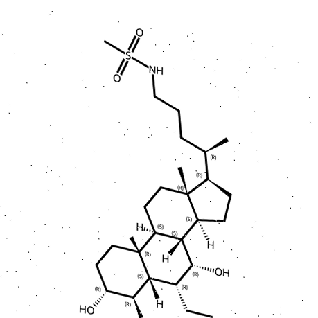 CC[C@H]1[C@@H](O)[C@@H]2[C@H](CC[C@]3(C)[C@@H]([C@H](C)CCCNS(C)(=O)=O)CC[C@@H]23)[C@@]2(C)CC[C@@H](O)[C@H](F)[C@@H]12